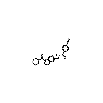 C[C@@H](NC(=O)c1ccc(C#N)cc1)c1ccc2c(c1)CCN2C(=O)C1CCCCC1